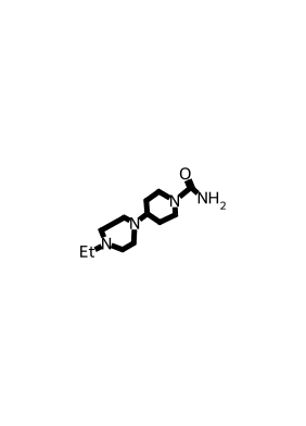 CCN1CCN(C2CCN(C(N)=O)CC2)CC1